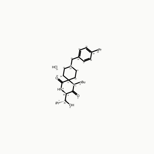 CCCCN1C(=O)[C@@H]([C@H](O)C(C)C)NC(=O)C12CCN(Cc1ccc(C(C)C)cc1)CC2.Cl